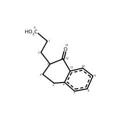 O=C(O)CCC1CCc2ccccc2C1=O